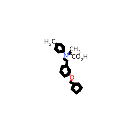 Cc1ccc(N(CCc2cccc(OCc3ccccc3)c2)[C@H](C)C(=O)O)cc1